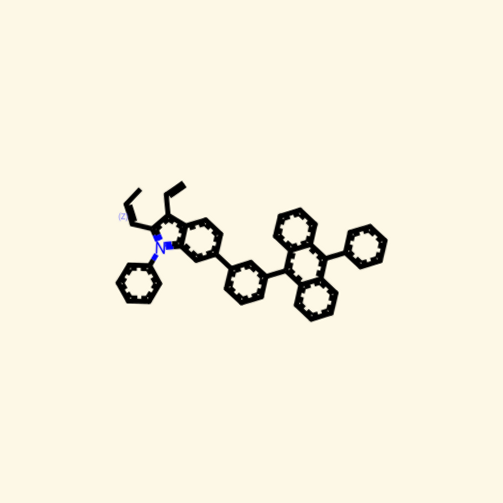 C=Cc1c(/C=C\C)n(-c2ccccc2)c2cc(-c3cccc(-c4c5ccccc5c(-c5ccccc5)c5ccccc45)c3)ccc12